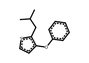 CC(C)Cc1sccc1Oc1ccccc1